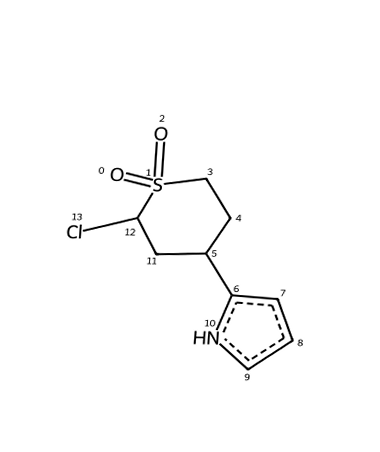 O=S1(=O)CCC(c2ccc[nH]2)CC1Cl